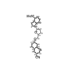 CNc1ncnc2c1ccn2C1CCC(COc2ccc3cc(C#N)cnc3c2)O1